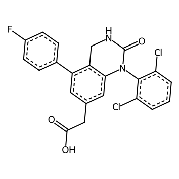 O=C(O)Cc1cc(-c2ccc(F)cc2)c2c(c1)N(c1c(Cl)cccc1Cl)C(=O)NC2